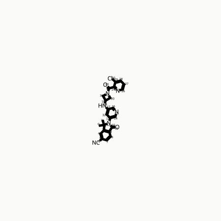 CC1(C)c2cc(C#N)ccc2C(=O)N1c1cncc(NC2CN(C(=O)c3ncccc3Cl)C2)c1